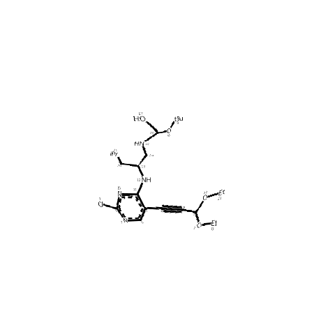 CCOC(C#Cc1cnc(Cl)nc1N[C@H](CNC(O)OC(C)(C)C)CC(C)C)OCC